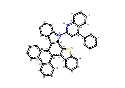 c1ccc(-c2cc(-n3c4ccccc4c4c5c6ccccc6c6ccccc6c5c5c6ccccc6sc5c43)nc3ccccc23)cc1